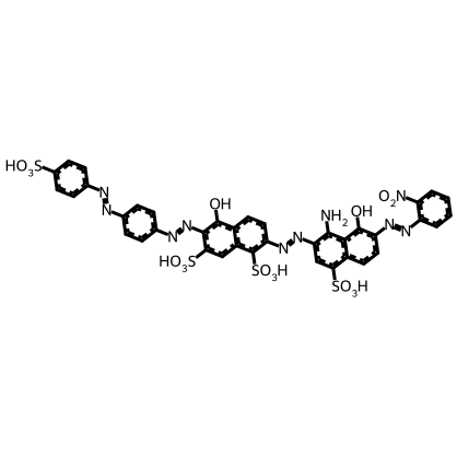 Nc1c(N=Nc2ccc3c(O)c(N=Nc4ccc(N=Nc5ccc(S(=O)(=O)O)cc5)cc4)c(S(=O)(=O)O)cc3c2S(=O)(=O)O)cc(S(=O)(=O)O)c2ccc(N=Nc3ccccc3[N+](=O)[O-])c(O)c12